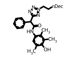 CCCCCCCCCCCCn1nnc(C(C(=O)Nc2cc(C)c(O)c(C)c2C)c2ccccc2)n1